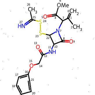 C=C(C)C(C(=O)OC)N1C(=O)C(NC(=O)COc2ccccc2)C1SSC(C)=N